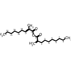 C=C(CCCCCCCC)C(=O)OC(=O)C(C)=CCCCCCC